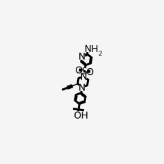 CC#C[C@H]1CN(S(=O)(=O)c2ccc(N)nc2)CCN1c1ccc(C(C)(C)O)cc1